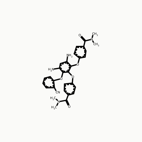 CN(C)C(=O)c1ccc(Oc2c(N)cc(N)c(Oc3ccccc3C#N)c2Oc2ccc(C(=O)N(C)C)cc2)cc1